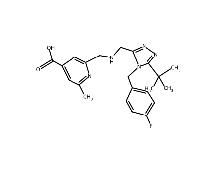 Cc1cc(C(=O)O)cc(CNCc2nnc(C(C)(C)C)n2Cc2ccc(F)cc2)n1